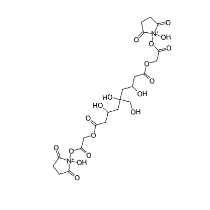 O=C(CC(O)CC(O)(CO)CC(O)CC(=O)OCC(=O)O[N+]1(O)C(=O)CCC1=O)OCC(=O)O[N+]1(O)C(=O)CCC1=O